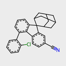 N#Cc1ccc2c(c1)C1(c3cccc(-c4ccccc4Cl)c3-2)C2CC3CC(C2)CC1C3